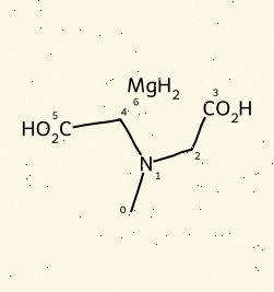 CN(CC(=O)O)CC(=O)O.[MgH2]